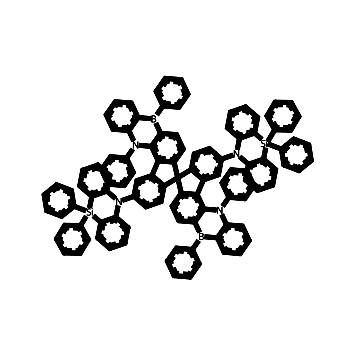 c1ccc(B2c3ccccc3N(c3ccccc3)c3c2ccc2c3-c3cc(N4c5ccccc5[Si](c5ccccc5)(c5ccccc5)c5ccccc54)ccc3C23c2ccc(N4c5ccccc5[Si](c5ccccc5)(c5ccccc5)c5ccccc54)cc2-c2c3ccc3c2N(c2ccccc2)c2ccccc2B3c2ccccc2)cc1